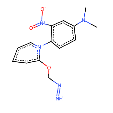 CN(C)c1ccc(-[n+]2ccccc2OCN=N)c([N+](=O)[O-])c1